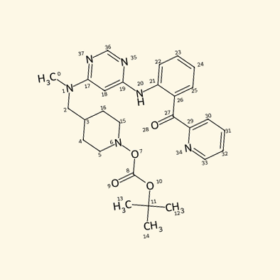 CN(CC1CCN(OC(=O)OC(C)(C)C)CC1)c1cc(Nc2ccccc2C(=O)c2ccccn2)ncn1